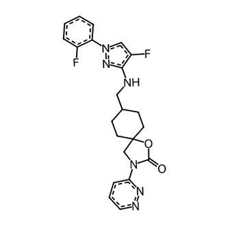 O=C1OC2(CCC(CNc3nn(-c4ccccc4F)cc3F)CC2)CN1c1cccnn1